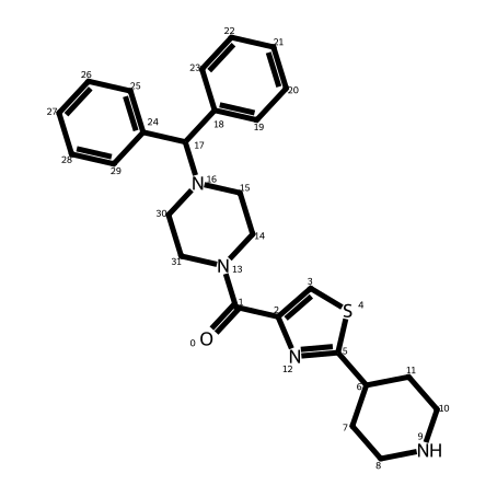 O=C(c1csc(C2CCNCC2)n1)N1CCN(C(c2ccccc2)c2ccccc2)CC1